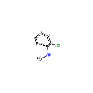 CNc1cc[c]cc1Cl